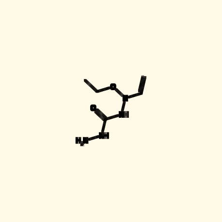 C=CN(NC(=O)NN)OCC